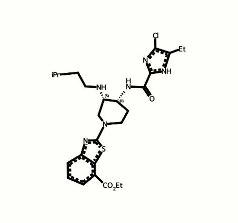 CCOC(=O)c1cccc2nc(N3CC[C@@H](NC(=O)c4nc(Cl)c(CC)[nH]4)[C@@H](NCCC(C)C)C3)sc12